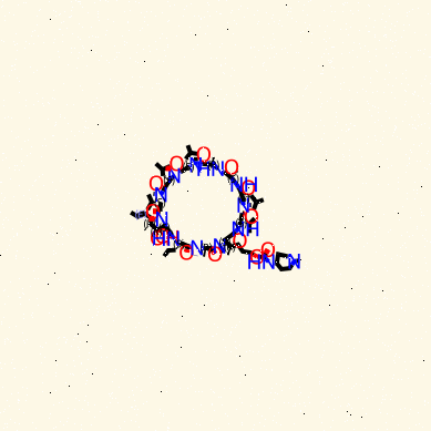 C/C=C/C[C@@H](C)[C@@H](O)[C@H]1C(=O)N[C@@H](CCC)C(=O)N(C)[C@H](C)C(=O)N(C)[C@@H]([C@H](C)CCCOC(=O)NC2CCN(C)CC2)C(=O)N[C@@H](C(C)C)C(=O)N(C)[C@@H](CC(C)C)C(=O)N[C@@H](C)C(=O)N[C@H](C)C(=O)N(C)[C@@H](CC(C)C)C(=O)N(C)[C@@H](CC(C)C)C(=O)N(C)[C@@H](C(C)C)C(=O)N1C